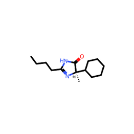 CCCCC1=N[C@](C)(C2CCCCC2)C(=O)N1